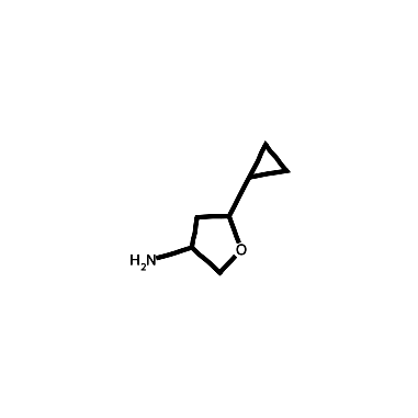 NC1COC(C2CC2)C1